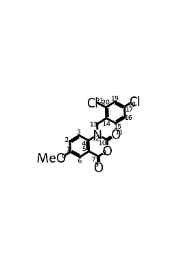 COc1ccc2c(c1)c(=O)oc(=O)n2Cc1ccc(Cl)cc1Cl